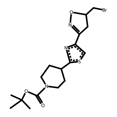 CC(C)(C)OC(=O)N1CCC(c2nc(C3=NOC(CBr)C3)cs2)CC1